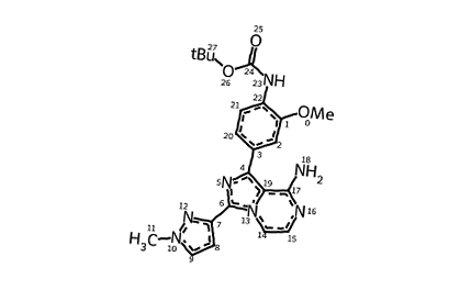 COc1cc(-c2nc(-c3ccn(C)n3)n3ccnc(N)c23)ccc1NC(=O)OC(C)(C)C